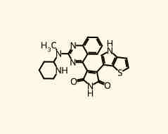 CN(c1nc(C2=C(c3c[nH]c4ccsc34)C(=O)NC2=O)c2ccccc2n1)C1CCCCN1